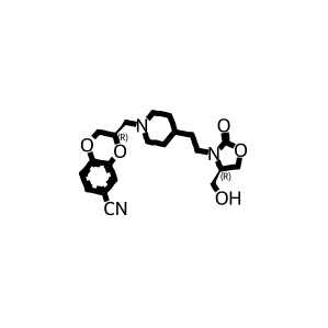 N#Cc1ccc2c(c1)O[C@H](CN1CCC(CCN3C(=O)OC[C@H]3CO)CC1)CO2